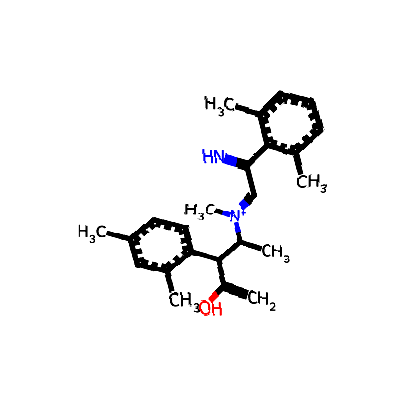 C=C(O)C(c1ccc(C)cc1C)C(C)/[N+](C)=C/C(=N)c1c(C)cccc1C